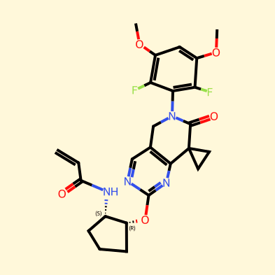 C=CC(=O)N[C@H]1CCC[C@H]1Oc1ncc2c(n1)C1(CC1)C(=O)N(c1c(F)c(OC)cc(OC)c1F)C2